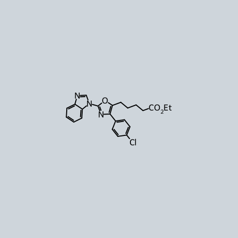 CCOC(=O)CCCCc1oc(-n2cnc3ccccc32)nc1-c1ccc(Cl)cc1